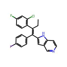 CC/C(=C(/c1ccc(I)cc1)c1cc2cnccc2[nH]1)c1ccc(F)cc1Cl